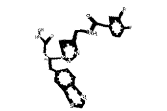 O=C(C[C@@H](Cc1ccc2ncsc2c1)n1cc(CNC(=O)c2ccc(F)c(F)c2)nn1)NO